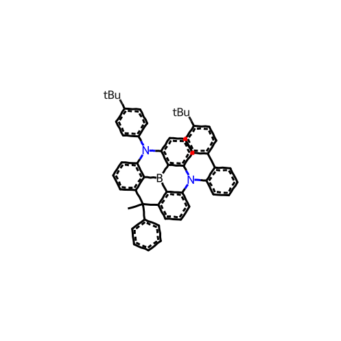 CC(C)(C)c1ccc(-c2ccccc2N2c3cccc4c3B3c5c(cccc5C(C)(c5ccccc5)c5cccc2c53)N4c2ccc(C(C)(C)C)cc2)cc1